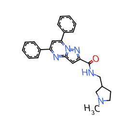 CN1CCC(CNC(=O)c2cc3nc(-c4ccccc4)cc(-c4ccccc4)n3n2)C1